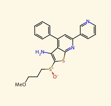 COCCC[S@+]([O-])c1sc2nc(-c3cccnc3)cc(-c3ccccc3)c2c1N